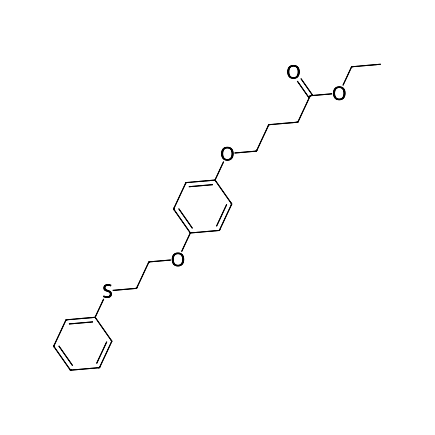 CCOC(=O)CCCOc1ccc(OCCSc2ccccc2)cc1